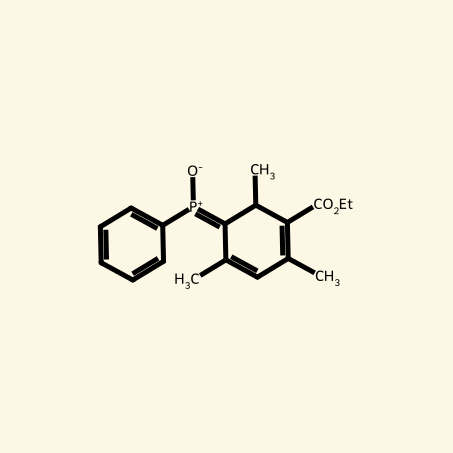 CCOC(=O)C1=C(C)C=C(C)/C(=[P+](/[O-])c2ccccc2)C1C